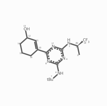 C[C@@H](Nc1nc(NC(C)(C)C)nc(C2=CC(O)CCC2)n1)C(F)(F)F